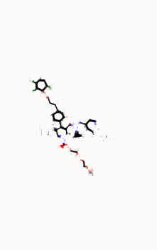 COc1nccc(CN(C(=O)C2=C(c3ccc(CCCOc4c(F)ccc(F)c4Cl)cc3)C(C)(C)CN(C(=O)OCCOCCO[N+](=O)[O-])C2)C2CC2)c1C